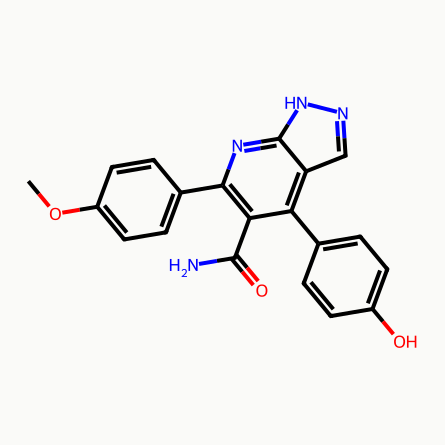 COc1ccc(-c2nc3[nH]ncc3c(-c3ccc(O)cc3)c2C(N)=O)cc1